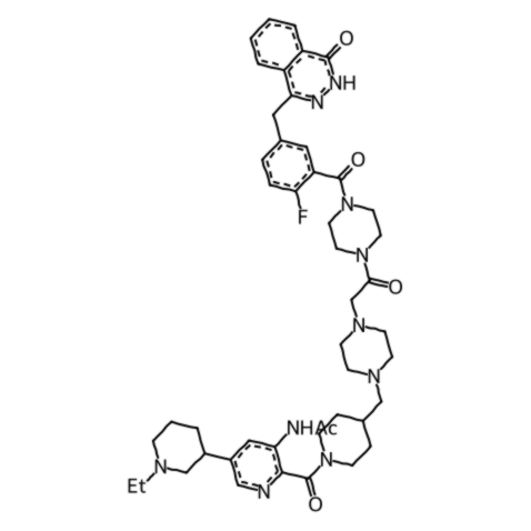 CCN1CCCC(c2cnc(C(=O)N3CCC(CN4CCN(CC(=O)N5CCN(C(=O)c6cc(Cc7n[nH]c(=O)c8ccccc78)ccc6F)CC5)CC4)CC3)c(NC(C)=O)c2)C1